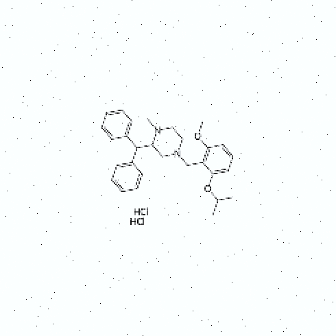 COc1cccc(OC(C)C)c1CN1CCN(C)C(C(c2ccccc2)c2ccccc2)C1.Cl.Cl